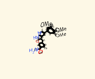 COc1cc(-c2cnc3c(c2)C(Cc2ccc(C(N)=O)cc2)C(=O)N3)cc(OC)c1OC